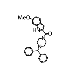 COc1ccc2cc(C(=O)N3CCN(C(c4ccccc4)c4ccccc4)CC3)[nH]c2c1